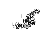 C=CC(=O)N1CC[C@@H](NC(=O)c2sc3nccc4c3c2NC(=O)N4c2ccc(OC3CCOCC3)cc2C)C1